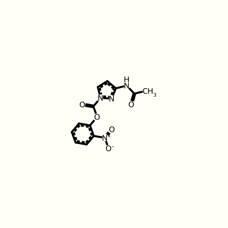 CC(=O)Nc1ccn(C(=O)Oc2ccccc2[N+](=O)[O-])n1